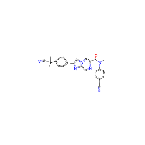 CN(C(=O)c1cn2cc(-c3ccc(C(C)(C)C#N)cc3)nc2cn1)c1ccc(C#N)cc1